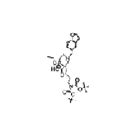 CCOP1(=O)CCN(Cc2ccc3occc3c2)CC1(CCCCN(C(=O)OC(C)(C)C)C(=O)OC(C)(C)C)C(=O)O